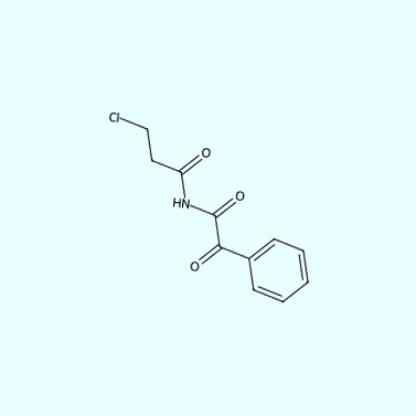 O=C(CCCl)NC(=O)C(=O)c1ccccc1